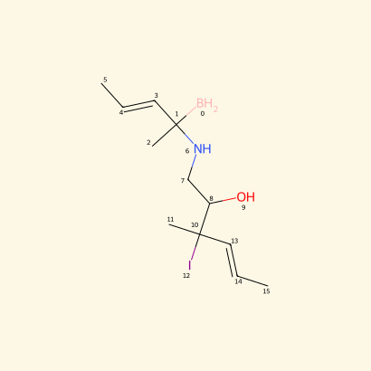 BC(C)(C=CC)NCC(O)C(C)(I)C=CC